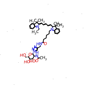 CCN1\C(=C/C=C/C=C/C2N(CCCCCC(=O)NCc3cn([C@@H]4O[C@H](CO)[C@H](O)C(O)C4NC(C)=O)nn3)c3ccccc3C2(C)C)C(C)(C)c2ccccc21